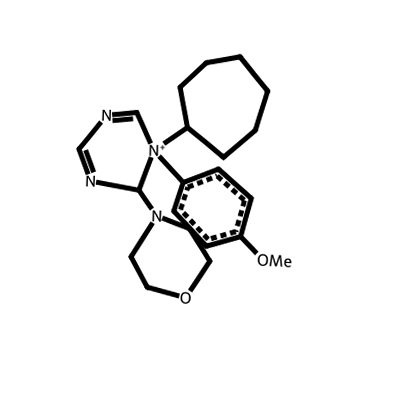 COc1ccc([N+]2(C3CCCCCC3)C=NC=NC2N2CCOCC2)cc1